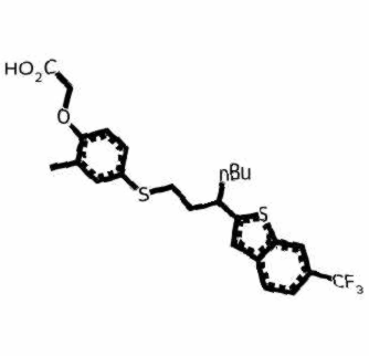 CCCCC(CCSc1ccc(OCC(=O)O)c(C)c1)c1cc2ccc(C(F)(F)F)cc2s1